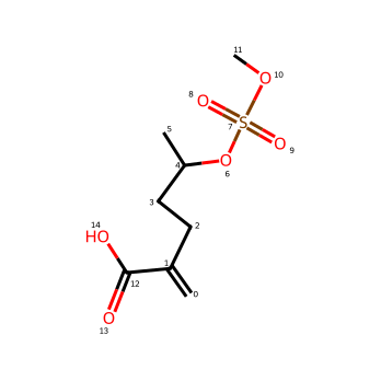 C=C(CCC(C)OS(=O)(=O)OC)C(=O)O